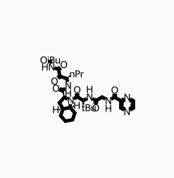 CCC[C@H](NC(=O)[C@@H]1C[C@@H]2CCCC[C@@H]2N1C(=O)[C@@H](NC(=O)CNC(=O)c1cnccn1)C(C)(C)C)C(=O)C(=O)NOCC(C)C